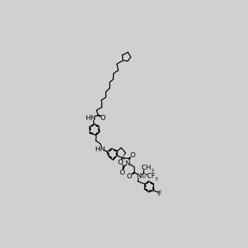 C[C@H](N(Cc1ccc(F)cc1)C(=O)CN1C(=O)O[C@@]2(CCc3cc(NCCc4ccc(NC(=O)CCCCCCCCCCCC5CCCC5)cc4)ccc32)C1=O)C(F)(F)F